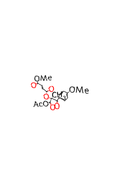 COC(=O)C=CC(=O)OC(C)(C(=O)OC(C)=O)C(=O)c1ccc(OC)cc1